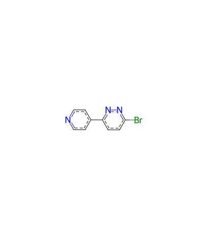 Brc1ccc(-c2ccncc2)nn1